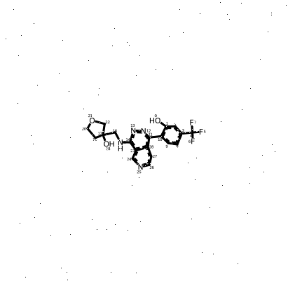 Oc1cc(C(F)(F)F)ccc1-c1nnc(NCC2(O)CCOC2)c2cnccc12